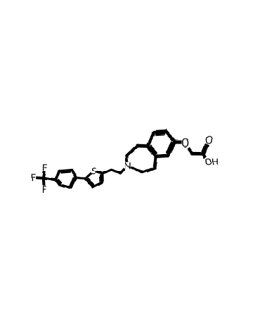 O=C(O)COc1ccc2c(c1)CCN(CCc1ccc(-c3ccc(C(F)(F)F)cc3)s1)CC2